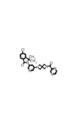 CC1(C)c2cc(Cl)ccc2C(=O)N1c1cncc(N2CC3(CN(C(=O)c4cnccn4)C3)C2)c1